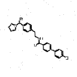 CC(C)C(c1ccc(CCNC(=O)c2ccc(-c3ccc(Cl)cc3)cc2)cc1)N1CCCC1